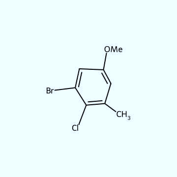 COc1cc(C)c(Cl)c(Br)c1